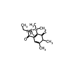 CCNC(=O)C1=C([Si](C)(C)C)C(=S)C(C)C(C)=C1